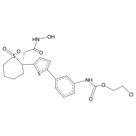 O=C(C[C@]1(c2ccc(-c3cccc(NC(=O)OCCCl)c3)s2)CCCCS1(=O)=O)NO